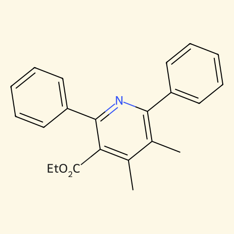 CCOC(=O)c1c(-c2ccccc2)nc(-c2ccccc2)c(C)c1C